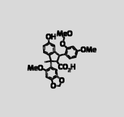 COCOc1cc(OC)ccc1C1c2cc(O)ccc2C(C)(c2cc3c(cc2OC)OCO3)C1C(=O)O